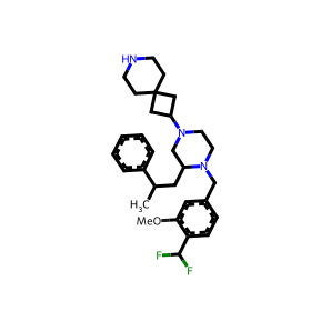 COc1cc(CN2CCN(C3CC4(CCNCC4)C3)CC2CC(C)c2ccccc2)ccc1C(F)F